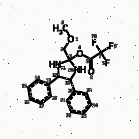 COCC1(OC(=O)C(F)(F)F)NC(c2ccccc2)C(c2ccccc2)N1